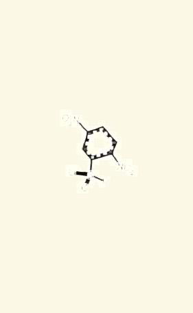 O=[N+]([O-])c1ccc([N+](=O)[O-])c(S(=O)(=O)I)c1